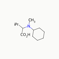 CC(C)C(C(=O)O)N(C)C1CCCCC1